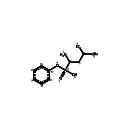 CCCCC(CC)CC(N)P(=O)(O)Oc1ccccc1